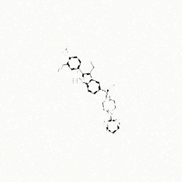 CCc1c(-c2ccc(OC)c(OC)c2)[nH]c2ccc(C(=O)N3CCN(c4ncccn4)CC3)cc12